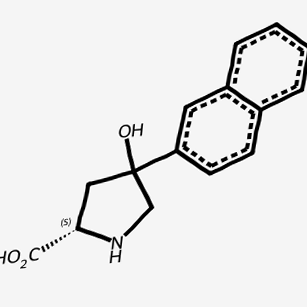 O=C(O)[C@@H]1CC(O)(c2ccc3ccccc3c2)CN1